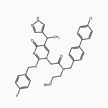 COCCN(Cc1ccc(-c2ccc(Cl)cc2)cc1)C(=O)Cn1cc(C(C)c2cn[nH]c2)c(=O)nc1SCc1ccc(F)cc1